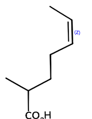 C/C=C\CCC(C)C(=O)O